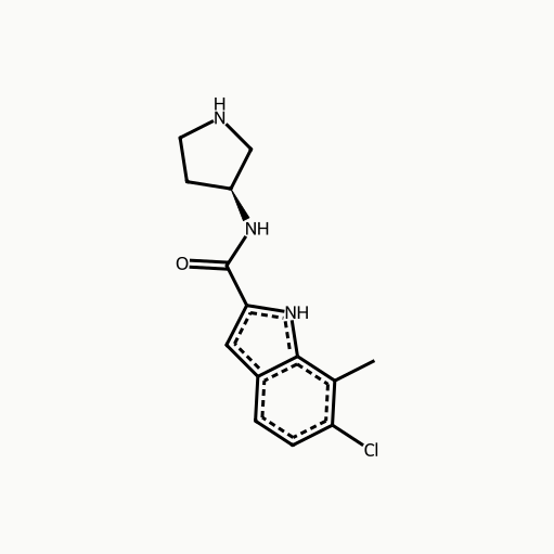 Cc1c(Cl)ccc2cc(C(=O)N[C@H]3CCNC3)[nH]c12